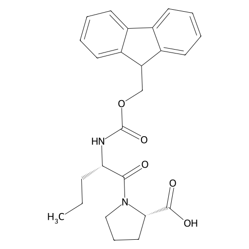 CCC[C@H](NC(=O)OCC1c2ccccc2-c2ccccc21)C(=O)N1CCC[C@H]1C(=O)O